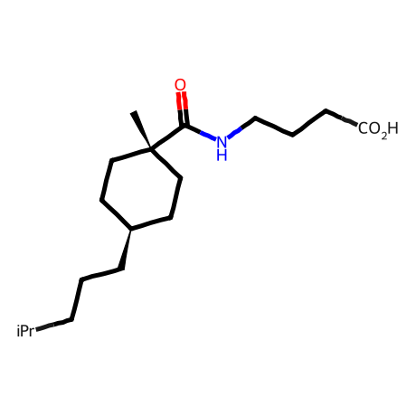 CC(C)CCC[C@H]1CC[C@](C)(C(=O)NCCCC(=O)O)CC1